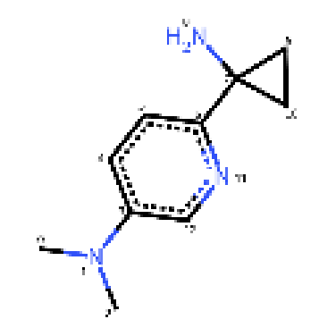 CN(C)c1ccc(C2(N)CC2)nc1